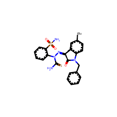 CC(C)(C)c1ccc2c(c1)/C(=N/N(C(N)=S)c1ccccc1S(N)(=O)=O)C(=O)N2Cc1ccccc1